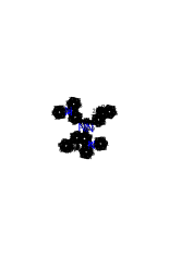 CC1(C)c2ccccc2-c2ccc(-c3cc(-c4ccc5c(c4)c4ccccc4n5-c4ccccc4)nc(-c4cc5c(c6ccccc6n5-c5ccccc5)c5c6c(ccc45)-c4ccccc4[Si]6(C)C)n3)cc21